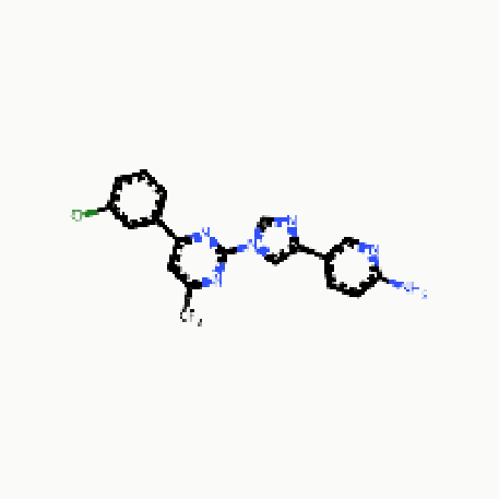 Nc1ccc(-c2cn(-c3nc(-c4cccc(Cl)c4)cc(C(F)(F)F)n3)cn2)cn1